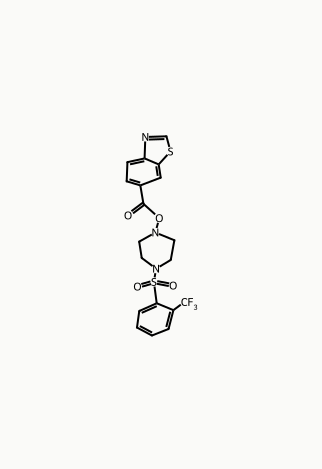 O=C(ON1CCN(S(=O)(=O)c2ccccc2C(F)(F)F)CC1)c1ccc2ncsc2c1